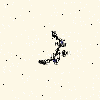 CN(C)Cc1ccc(CSCCN/C(=C/[N+](=O)[O-])NCCCCCCCCCCN/C(=C\[N+](=O)[O-])NCCSCc2ccc(CN(C)C)o2)o1.O=S(=O)(O)O